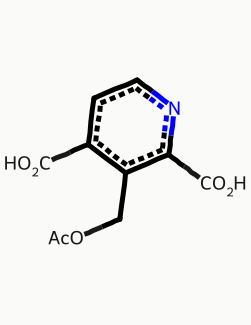 CC(=O)OCc1c(C(=O)O)ccnc1C(=O)O